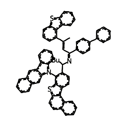 CCC(C)C(/N=C(\C=C(/C)c1cccc2sc3ccccc3c12)c1ccc(-c2ccccc2)cc1)c1ccc2c(sc3ccc4ccccc4c32)c1-n1c2ccccc2c2cc3ccccc3cc21